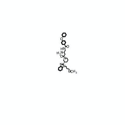 COCCCn1c([C@@H]2CCCN(C(=O)C[C@H](N)CNC(=O)c3ccc(Oc4ccccc4)cc3)C2)nc2ccccc21